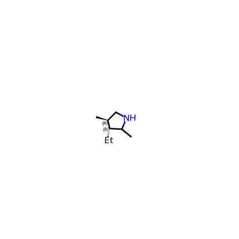 CC[C@H]1C(C)NC[C@@H]1C